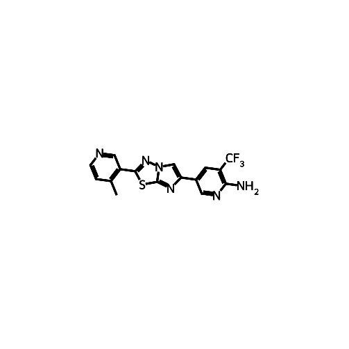 Cc1ccncc1-c1nn2cc(-c3cnc(N)c(C(F)(F)F)c3)nc2s1